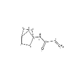 C=CC(=O)NC12CCC(CC1)C2